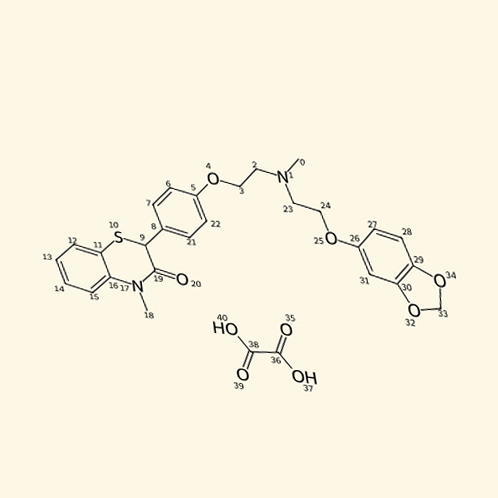 CN(CCOc1ccc(C2Sc3ccccc3N(C)C2=O)cc1)CCOc1ccc2c(c1)OCO2.O=C(O)C(=O)O